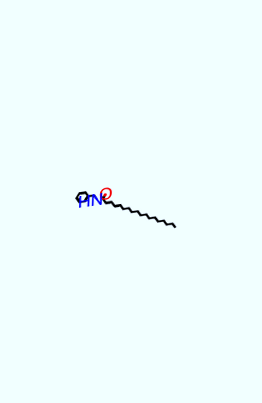 CCCCCCCCCCCCCC=CC=CC(=O)NCc1ccccc1